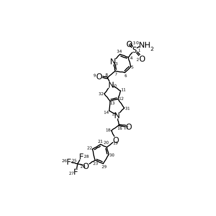 NS(=O)(=O)c1ccc(C(=O)N2CC3=C(CN(C(=O)COc4ccc(OC(F)(F)F)cc4)C3)C2)nc1